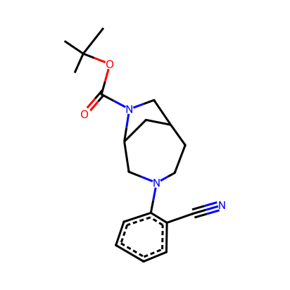 CC(C)(C)OC(=O)N1CC2CCN(c3ccccc3C#N)CC1C2